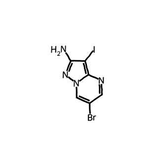 Nc1nn2cc(Br)cnc2c1I